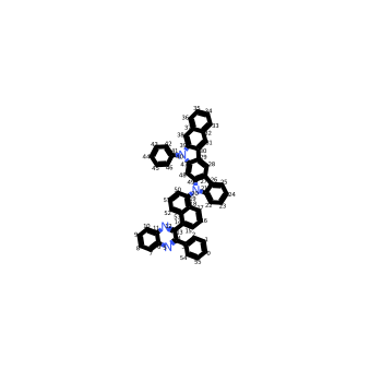 c1ccc(-c2nc3ccccc3nc2-c2cccc3c(-n4c5ccccc5c5cc6c7cc8ccccc8cc7n(-c7ccccc7)c6cc54)cccc23)cc1